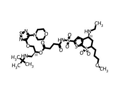 CCN[C@H]1CC(CCCOC)S(=O)(=O)c2sc(S(=O)(=O)NC(=O)CCC(=O)O[C@@H](CNC(C)(C)C)COc3nsnc3N3CCOCC3)cc21